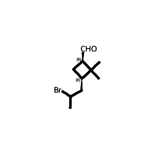 CC(Br)C[C@H]1C[C@@H](C=O)C1(C)C